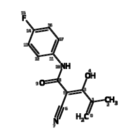 C=C(C)C(O)=C(C#N)C(=O)Nc1ccc(F)cc1